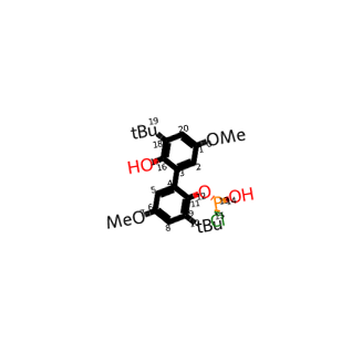 COc1cc(-c2cc(OC)cc(C(C)(C)C)c2OP(O)Cl)c(O)c(C(C)(C)C)c1